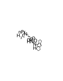 CCCN(C)C/C=C/S(=O)(=O)NC(=O)Nc1c2c(cc3c1CCC3)CCC2